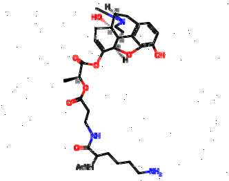 CC(=O)NC(CCCCN)C(=O)NCCC(=O)O[C@@H](C)C(=O)OC1=CC[C@@]2(O)[C@H]3Cc4ccc(O)c5c4[C@@]2(CCN3C)[C@H]1O5